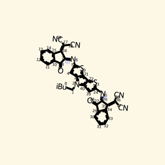 CCC(C)Cn1c2cc(/N=C3\C(=O)c4ccccc4C3=C(C#N)C#N)sc2c2sc(/N=C3\C(=O)c4ccccc4C3=C(C#N)C#N)cc21